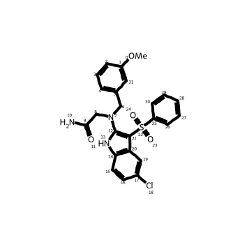 COc1cccc(CN(CC(N)=O)c2[nH]c3ccc(Cl)cc3c2S(=O)(=O)c2ccccc2)c1